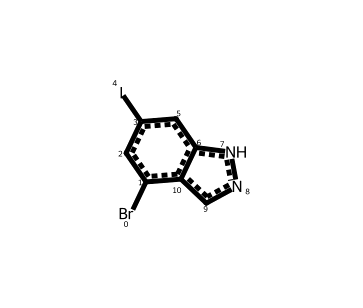 Brc1cc(I)cc2[nH]ncc12